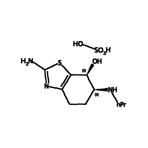 CCCN[C@H]1CCc2nc(N)sc2[C@H]1O.O=S(=O)(O)O